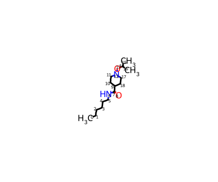 CCCCCCNC(=O)C1CCN(OC(C)C)CC1